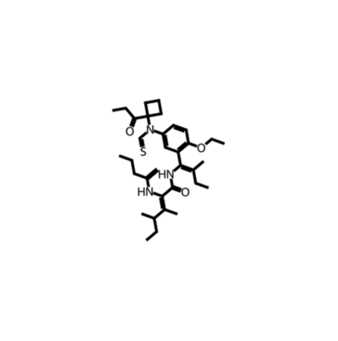 C=C(CCC)N/C(C(=O)N/C(=C(/C)CC)c1cc(N(C=S)C2(C(=O)CC)CCC2)ccc1OCC)=C(/C)C(C)CC